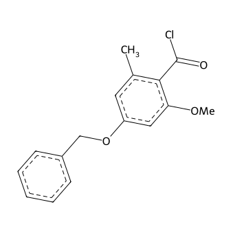 COc1cc(OCc2ccccc2)cc(C)c1C(=O)Cl